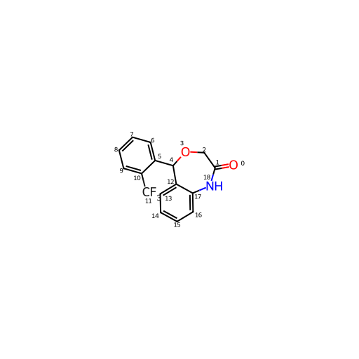 O=C1COC(c2ccccc2C(F)(F)F)c2ccccc2N1